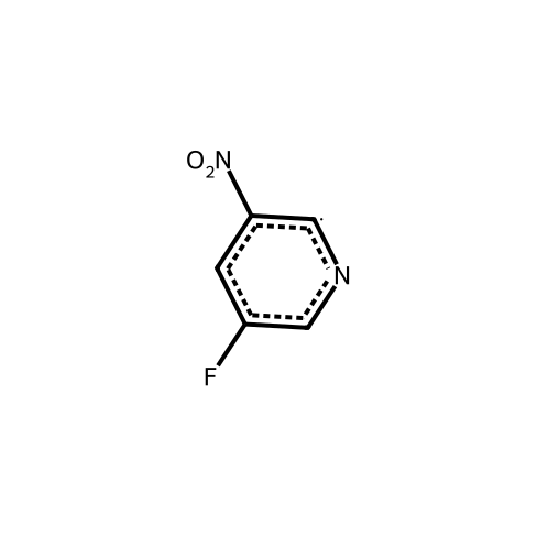 O=[N+]([O-])c1[c]ncc(F)c1